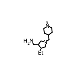 CC[C@@H]1CN(CC2CCN(C)CC2)C[C@@H]1CN